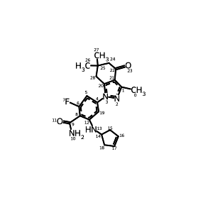 Cc1nn(-c2cc(F)c(C(N)=O)c(NC3CC=CC3)c2)c2c1C(=O)CC(C)(C)C2